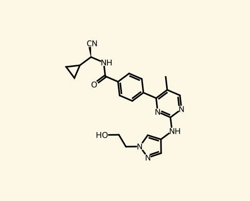 Cc1cnc(Nc2cnn(CCO)c2)nc1-c1ccc(C(=O)N[C@H](C#N)C2CC2)cc1